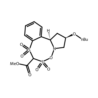 CCCCO[C@@H]1C[C@@H]2c3ccccc3S(=O)(=O)C(C(=O)OC)S(=O)(=O)ON2C1